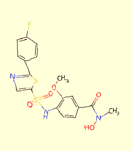 COc1cc(C(=O)N(C)O)ccc1NS(=O)(=O)c1cnc(-c2ccc(F)cc2)s1